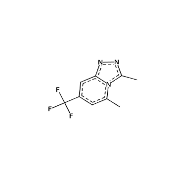 Cc1cc(C(F)(F)F)cc2nnc(C)n12